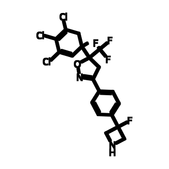 CC1(C2(C(F)(F)F)CC(c3ccc(C4(F)CNC4)cc3)=NO2)C=C(Cl)C(Cl)=C(Cl)C1